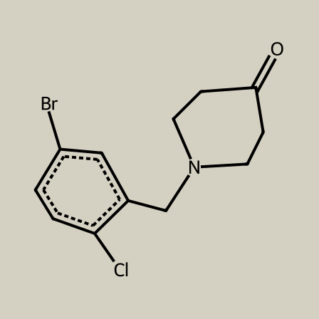 O=C1CCN(Cc2cc(Br)ccc2Cl)CC1